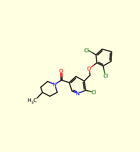 CC1CCN(C(=O)c2cnc(Cl)c(COc3c(Cl)cccc3Cl)c2)CC1